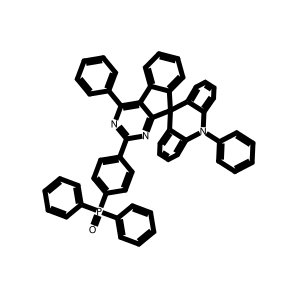 O=P(c1ccccc1)(c1ccccc1)c1ccc(-c2nc(-c3ccccc3)c3c(n2)C2(c4ccccc4-3)c3ccccc3N(c3ccccc3)c3ccccc32)cc1